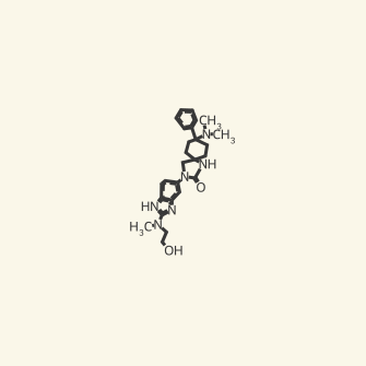 CN(CCO)c1nc2cc(N3CC4(CCC(c5ccccc5)(N(C)C)CC4)NC3=O)ccc2[nH]1